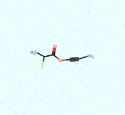 CC#COC(=O)C(C)[S]